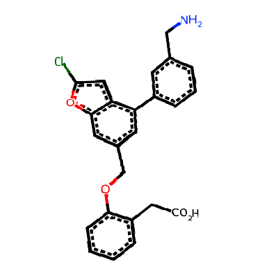 NCc1cccc(-c2cc(COc3ccccc3CC(=O)O)cc3oc(Cl)cc23)c1